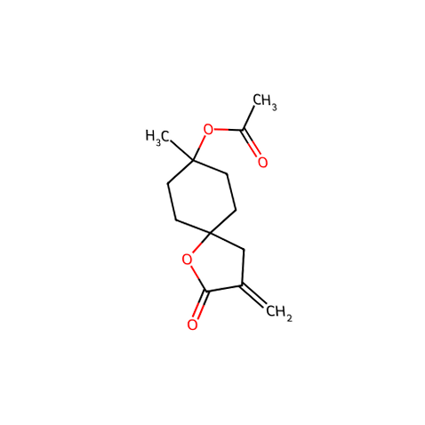 C=C1CC2(CCC(C)(OC(C)=O)CC2)OC1=O